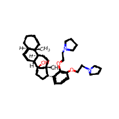 C[C@]12CCCC[C@@H]1CC[C@@H]1[C@@H]2CC[C@]2(C)[C@H](c3cccc(OCCN4CCCC4)c3OCCN3CCCC3)CC[C@]12O